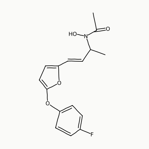 CC(=O)N(O)C(C)C=Cc1ccc(Oc2ccc(F)cc2)o1